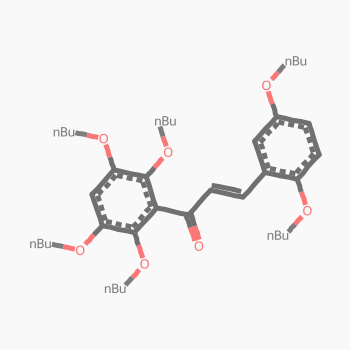 CCCCOc1ccc(OCCCC)c(C=CC(=O)c2c(OCCCC)c(OCCCC)cc(OCCCC)c2OCCCC)c1